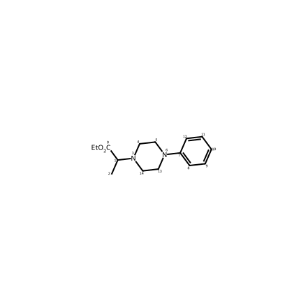 CCOC(=O)C(C)N1CCN(c2ccccc2)CC1